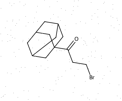 O=C(CCBr)C12CC3CC(CC(C3)C1)C2